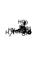 Cc1cccc(C[C@H](NC(=O)N[C@@H](CCC(=O)O)c2nc([C@@H](N)CCCNC(=N)N)no2)C(=O)O)c1